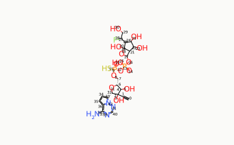 C#C[C@@]1(O)[C@H](O)[C@@H](COP(=O)(S)OP(=O)(O)OC2OC3(O)C2C(O)C(O)C3[C@@H](F)CO)O[C@H]1c1ccc2c(N)ncnn12